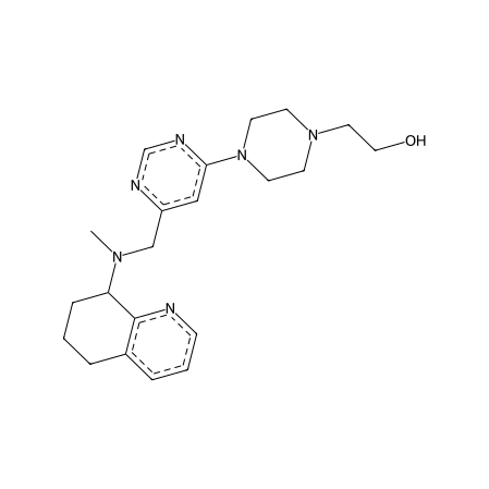 CN(Cc1cc(N2CCN(CCO)CC2)ncn1)C1CCCc2cccnc21